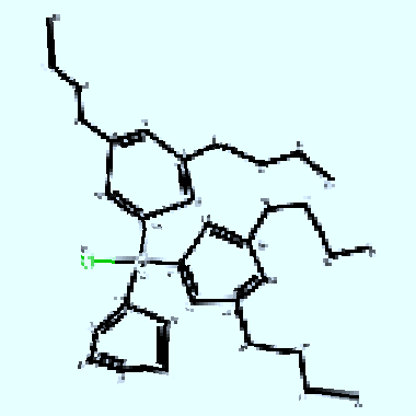 CCCCc1cc(CCCC)cc([Si](Cl)(c2ccccc2)c2cc(CCCC)cc(CCCC)c2)c1